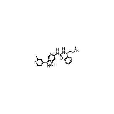 Cc1cc(-c2n[nH]c3cc(NC(=O)NC(CCN(C)C)c4ccccn4)ncc23)ccn1